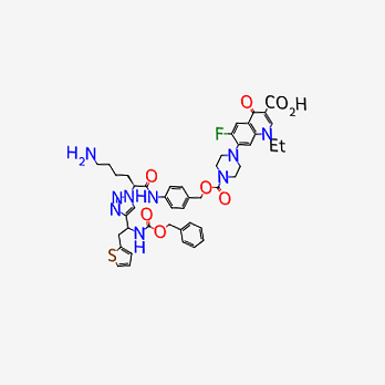 CCn1cc(C(=O)O)c(=O)c2cc(F)c(N3CCN(C(=O)OCc4ccc(NC(=O)[C@H](CCCCN)n5cc(C(Cc6cccs6)NC(=O)OCc6ccccc6)nn5)cc4)CC3)cc21